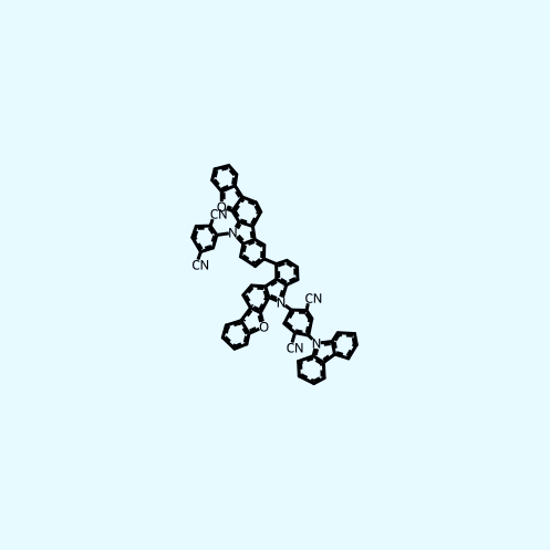 N#Cc1ccc(C#N)c(-n2c3ccc(-c4cccc5c4c4ccc6c7ccccc7oc6c4n5-c4cc(C#N)c(-n5c6ccccc6c6ccccc65)cc4C#N)cc3c3ccc4c5ccccc5oc4c32)c1